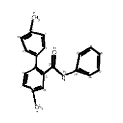 Cc1ccc(-c2ccc(C)cc2C(=O)Nc2cc[c]cc2)cc1